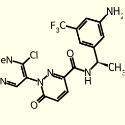 CN/C(Cl)=C(\C=N)n1nc(C(=O)N[C@H](C)c2cc(N)cc(C(F)(F)F)c2)ccc1=O